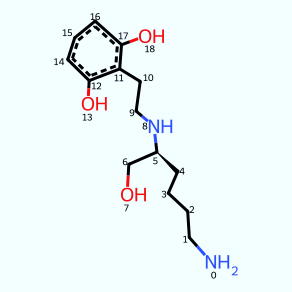 NCCCC[C@@H](CO)NCCc1c(O)cccc1O